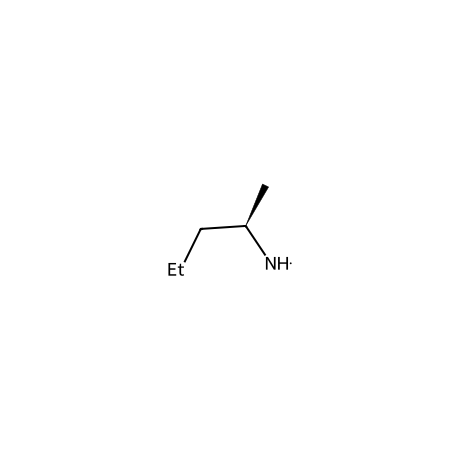 CCC[C@@H](C)[NH]